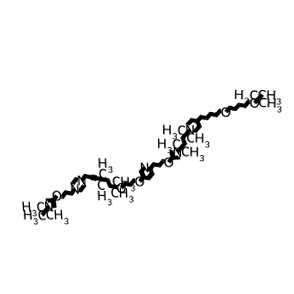 CC(C)(C#CCN1CCN(CCCOC2CN(C(C)(C)C)C2)CC1)CCC(C)(C)OCCCOc1ccc(CCCOC2CN(C(C)(C)CCC(C)(C)N3CCC(CCCCCOCCCCCOC(C)(C)C)CC3)C2)nc1